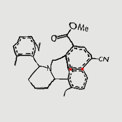 COC(=O)c1cc(C#N)ccc1CN1C(c2ncccc2C)CCCC1c1ncccc1C